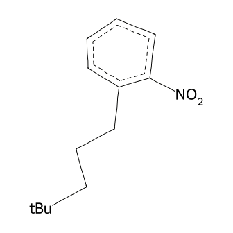 CC(C)(C)CCCc1ccccc1[N+](=O)[O-]